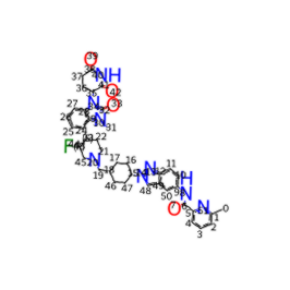 Cc1cccc(C(=O)Nc2ccc3nn([C@H]4CC[C@H](CN5CC[C@@H](c6cccc7c6n(C)c(=O)n7C6CCC(=O)NC6=O)[C@@H](F)C5)CC4)cc3c2)n1